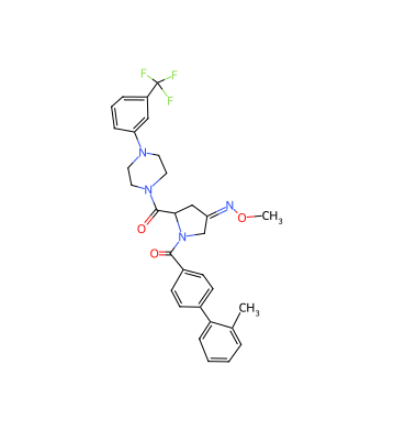 CON=C1CC(C(=O)N2CCN(c3cccc(C(F)(F)F)c3)CC2)N(C(=O)c2ccc(-c3ccccc3C)cc2)C1